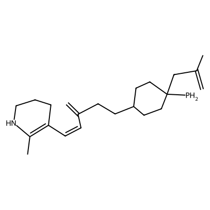 C=C(C)CC1(P)CCC(CCC(=C)/C=C\C2=C(C)NCCC2)CC1